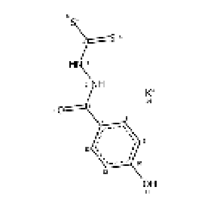 O=C(NNC(=S)[S-])c1ccc(O)cc1.[K+]